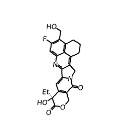 CC[C@@]1(O)C(=O)OCc2c1cc1n(c2=O)Cc2c-1nc1cc(F)c(CO)c3c1c2CCC3